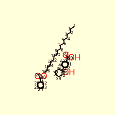 CCCCCCCCCCCCCCCCCCOC(=O)c1ccccc1.O=C(O)c1ccc(C2(O)CCCCC2)cc1